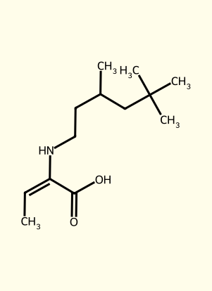 C/C=C(/NCCC(C)CC(C)(C)C)C(=O)O